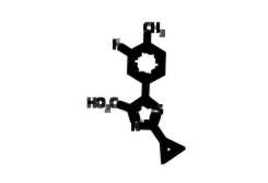 Cc1ccc(-c2sc(C3CC3)nc2C(=O)O)cc1F